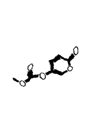 COC(=O)Oc1ccc(=O)oc1